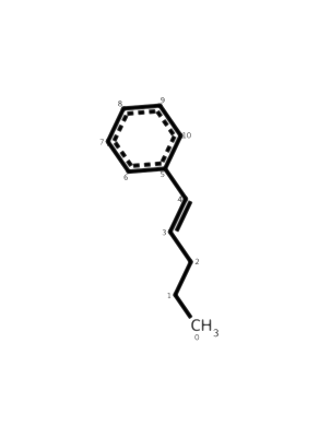 CCCC=Cc1c[c]ccc1